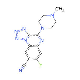 CN1CCN(c2nc3cc(F)c(C#N)cc3n3nnnc23)CC1